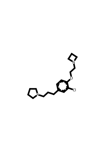 Clc1cc(CCCN2CCCC2)ccc1OCCN1CCC1